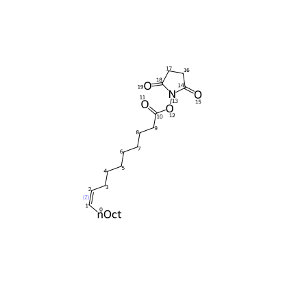 CCCCCCCC/C=C\CCCCCCCC(=O)ON1C(=O)CCC1=O